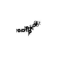 CCS(=O)(=O)N1CCC(c2nc(-c3ccc(F)cc3)c(-c3ccnc(Nc4ccc(N5CCN(C)CC5)cc4)n3)s2)CC1